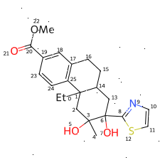 CCC12CC(C)(O)C(O)(c3nccs3)CC1CCc1cc(C(=O)OC)ccc12